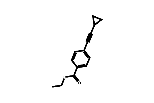 CCOC(=O)c1ccc(C#CC2CC2)cc1